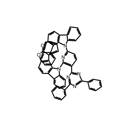 c1ccc(-c2nc(-c3ccccc3)nc(-c3ccc(-n4c5ccccc5c5ccc6oc7ccccc7c6c54)nc3-n3c4ccccc4c4ccc5oc6ccccc6c5c43)n2)cc1